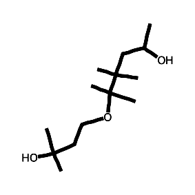 CC(O)CC(C)(C)C(C)(C)OCCC(C)(C)O